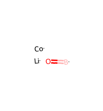 [B]=O.[Co].[Li]